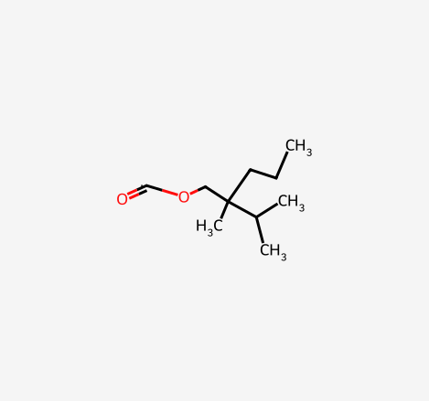 CCCC(C)(CO[C]=O)C(C)C